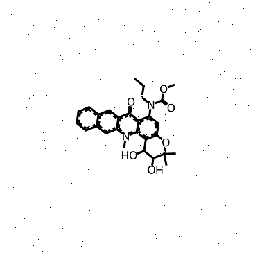 CCCN(C(=O)OC)c1cc2c(c3c1c(=O)c1cc4ccccc4cc1n3C)C(O)C(O)C(C)(C)O2